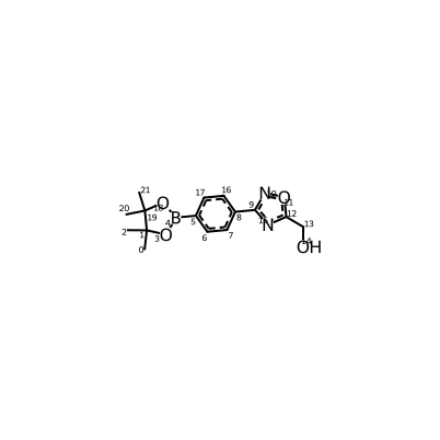 CC1(C)OB(c2ccc(-c3noc(CO)n3)cc2)OC1(C)C